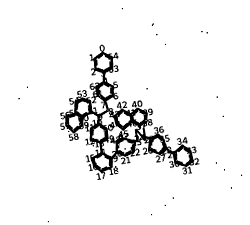 c1ccc(-c2ccc(CC(c3ccc(-c4ccccc4-c4ccc(N(c5ccc(-c6ccccc6)cc5)c5cccc6ccccc56)cc4)cc3)c3cccc4ccccc34)cc2)cc1